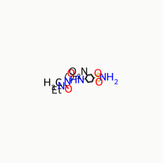 CCN(C)C(=O)N1CCOC(CNc2ccc(S(N)(=O)=O)cc2[N+](=O)[O-])C1